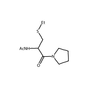 CCSCC(NC(C)=O)C(=O)N1CCCC1